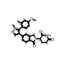 COc1ccc(-c2c(-c3ccc4c(c3)CN(C3CCC(=O)NC3=O)C4=O)cnn2C)c(C)c1